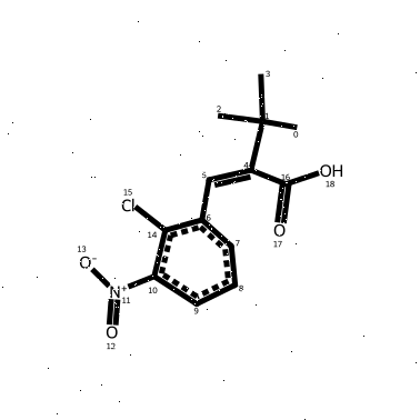 CC(C)(C)C(=Cc1cccc([N+](=O)[O-])c1Cl)C(=O)O